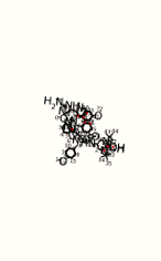 COc1ccc(CN(Cc2ccc(OC)cc2)S(=O)(=O)c2c(S(=O)(=O)NC(CN(C(=O)O)C(C)(C)C)CN(C(=O)O)C(C)(C)C)ccc(-c3ccnc(-c4cnc(N)[nH]4)c3)c2-c2nnnn2Cc2ccc(OC)cc2)cc1